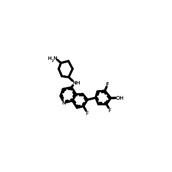 NC1CCC(Nc2[c]cnc3cc(F)c(-c4cc(F)c(O)c(F)c4)cc23)CC1